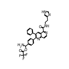 NC(OC(=O)C(F)(F)F)c1ccc(-c2nc3ccnc(C(=O)NCCc4c[nH]cn4)c3cc2-c2ccccc2)cc1